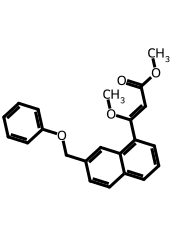 COC(=O)/C=C(\OC)c1cccc2ccc(COc3ccccc3)cc12